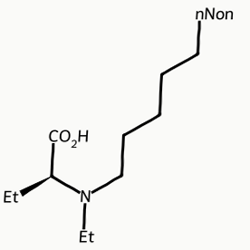 CCCCCCCCCCCCCCN(CC)[C@@H](CC)C(=O)O